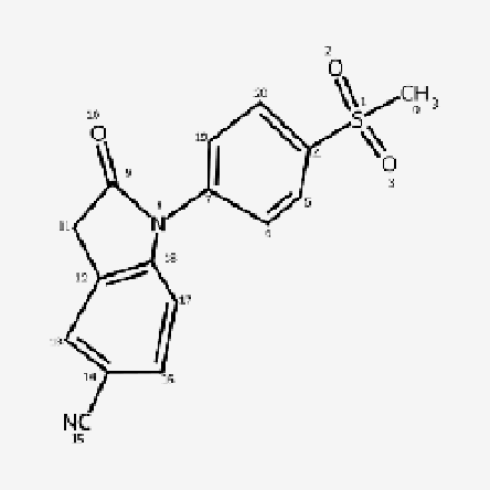 CS(=O)(=O)c1ccc(N2C(=O)Cc3cc(C#N)ccc32)cc1